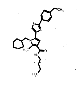 CCCCNC(=O)c1cc(-c2csc(-c3ccc(CC)cc3)n2)n(CC2CCCCC2)c1C